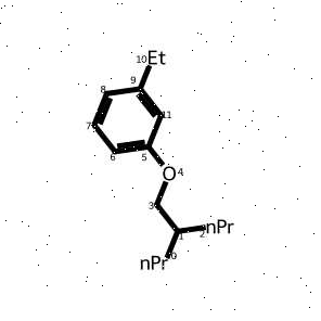 CCCC(CCC)COc1cccc(CC)c1